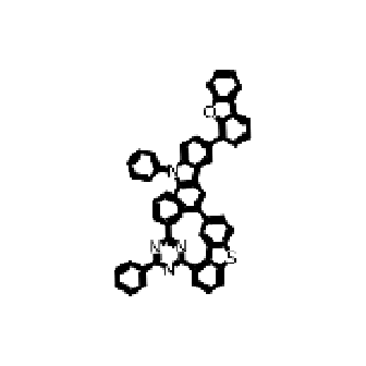 c1ccc(-c2nc(-c3ccccc3)nc(-c3cccc4sc5ccc(-c6ccc7c(c6)c6cc(-c8cccc9c8oc8ccccc89)ccc6n7-c6ccccc6)cc5c34)n2)cc1